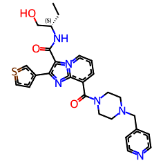 CC[C@@H](CO)NC(=O)c1c(-c2ccsc2)nc2c(C(=O)N3CCN(Cc4ccncc4)CC3)cccn12